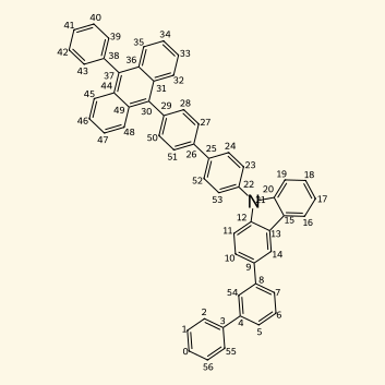 c1ccc(-c2cccc(-c3ccc4c(c3)c3ccccc3n4-c3ccc(-c4ccc(-c5c6ccccc6c(-c6ccccc6)c6ccccc56)cc4)cc3)c2)cc1